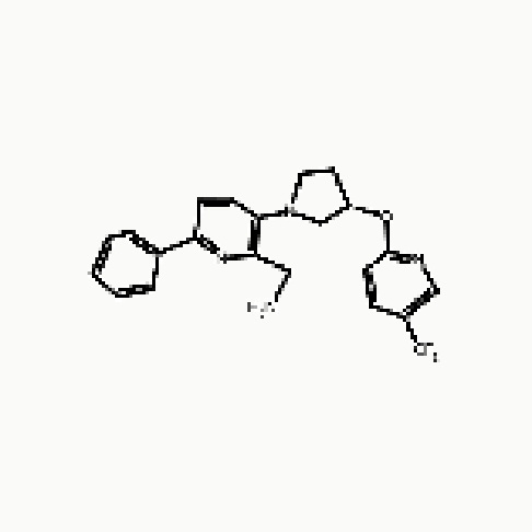 NCc1nc(-c2ccccc2)ccc1N1CC[C@@H](Oc2ccc(C(F)(F)F)cn2)C1